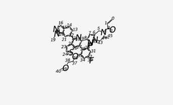 C=CC(=O)N1Cc2cc(-c3nc(-c4ccc5cnn(C)c5c4)c4ccsc4c3-c3c(F)cc(F)cc3OCCOC)nn2CC1C